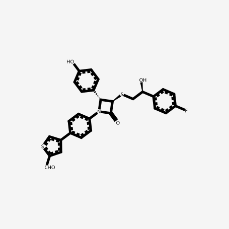 O=Cc1cc(-c2ccc(N3C(=O)[C@H](SC[C@@H](O)c4ccc(F)cc4)[C@H]3c3ccc(O)cc3)cc2)cs1